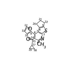 Cc1nc2sc3c(c2c(-c2ccco2)c1C(=O)C1CC1)CCC3